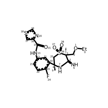 CCOC[C@@]1(C)C(=N)N[C@](C)(c2cc(NC(=O)c3cscn3)ccc2F)CS1(=O)=O